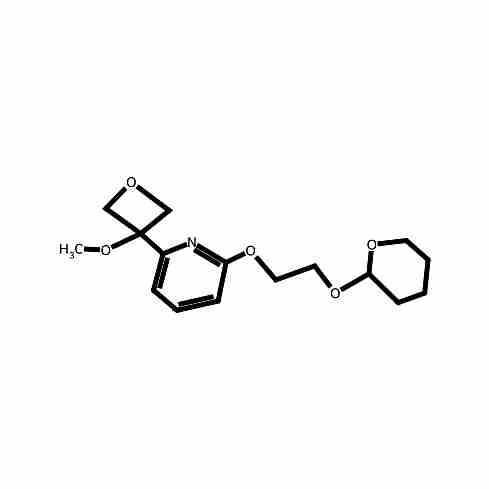 COC1(c2c[c]cc(OCCOC3CCCCO3)n2)COC1